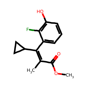 COC(=O)/C(C)=C(\c1cccc(O)c1F)C1CC1